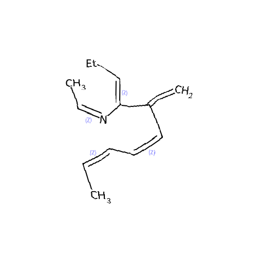 C=C(/C=C\C=C/C)C(=C/CC)/N=C\C